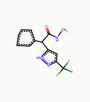 CNC(=O)C(c1ccccc1)c1cc(C(F)(F)F)n[nH]1